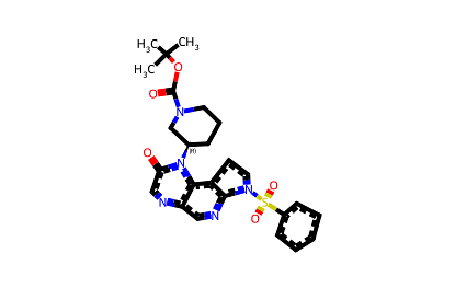 CC(C)(C)OC(=O)N1CCC[C@@H](n2c(=O)cnc3cnc4c(ccn4S(=O)(=O)c4ccccc4)c32)C1